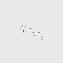 c1cc(-c2ccc3cc4c(cc3c2)C2(c3ccccc3-c3ccccc32)c2c-4ccc3ccccc23)cc(-c2ccc3ccc4cccnc4c3n2)c1